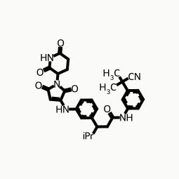 CC(C)C(CC(=O)Nc1cccc(C(C)(C)C#N)c1)c1cccc(NC2=CC(=O)N(C3CCC(=O)NC3=O)C2=O)c1